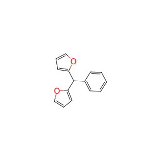 c1ccc(C(c2ccco2)c2ccco2)cc1